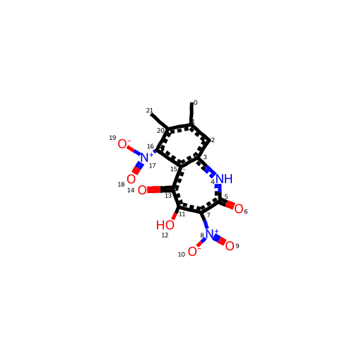 Cc1cc2[nH]c(=O)c([N+](=O)[O-])c(O)c(=O)c2c([N+](=O)[O-])c1C